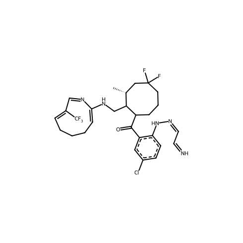 C[C@@H]1CC(F)(F)CCCC(C(=O)c2cc(Cl)ccc2N/N=C\C=N)C1CNC1=C/CCC/C=C(C(F)(F)F)/C=N\1